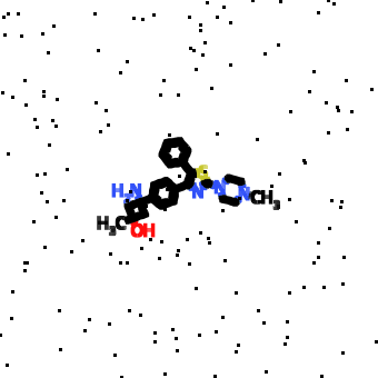 CN1CCN(c2nc(-c3ccc(C4(N)CC(C)(O)C4)cc3)c(-c3ccccc3)s2)CC1